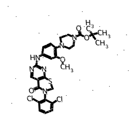 COc1cc(Nc2ncc3c(n2)SCN(c2c(Cl)cccc2Cl)C3=O)ccc1N1CCN(C(=O)OC(C)(C)C)CC1